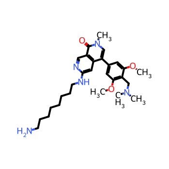 COc1cc(-c2cn(C)c(=O)c3cnc(NCCCCCCCCN)cc23)cc(OC)c1CN(C)C